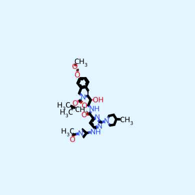 COCOc1ccc2c(c1)CN(C(=O)OC(C)(C)C)[C@H]([C@H](O)CNC(=O)c1cc(NC3CN(C(C)=O)C3)nc(N3CCC(C)CC3)n1)C2